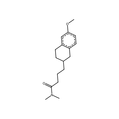 COc1ccc2c(c1)CCC(CCCC(=O)N(C)C)C2